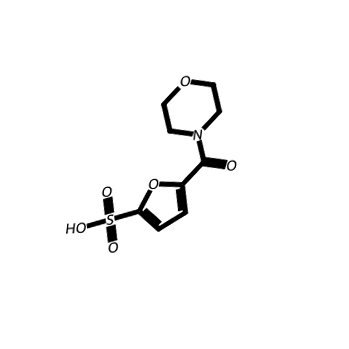 O=C(c1ccc(S(=O)(=O)O)o1)N1CCOCC1